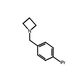 CC(C)c1ccc(CN2CCC2)cc1